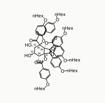 CCCCCCOc1ccc(C(=O)O[C@@]2(C(=O)c3ccc(OCCCCCC)cc3)[C@@](OC(=O)c3ccc(OCCCCCC)cc3)(C(=O)c3ccc(OCCCCCC)cc3)[C@@H](O)[C@H](O)[C@@H](O)[C@@]2(OC(=O)c2ccc(OCCCCCC)cc2)C(=O)c2ccc(OCCCCCC)cc2)cc1